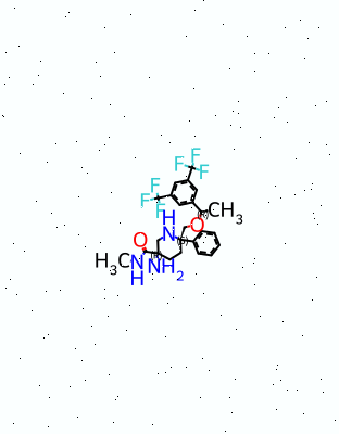 CNC(=O)[C@@]1(N)CC[C@@](CO[C@H](C)c2cc(C(F)(F)F)cc(C(F)(F)F)c2)(c2ccccc2)NC1